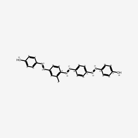 Cc1cc(/N=N/c2ccc(O)cc2)ccc1/N=N/c1ccc(/N=N/c2ccc(O)cc2)cc1